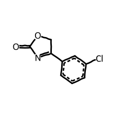 O=C1N=C(c2cccc(Cl)c2)CO1